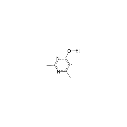 CCOc1[c]c(C)nc(C)n1